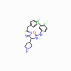 O=C(Nc1ccc(Cl)c(Cl)c1)NC(c1nsc(Cc2ccc(F)cc2)n1)C1CCNCC1